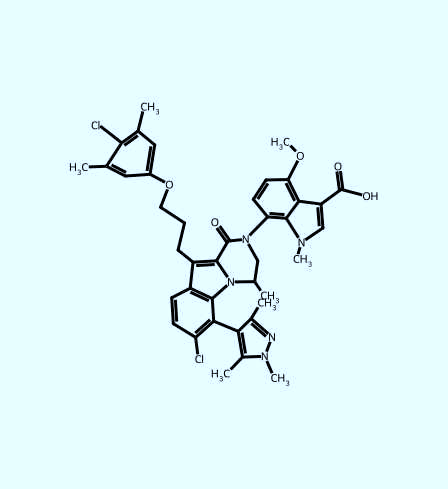 COc1ccc(N2CC(C)n3c(c(CCCOc4cc(C)c(Cl)c(C)c4)c4ccc(Cl)c(-c5c(C)nn(C)c5C)c43)C2=O)c2c1c(C(=O)O)cn2C